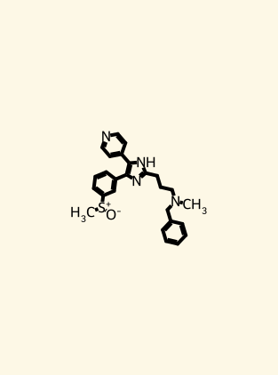 CN(CCCc1nc(-c2cccc([S+](C)[O-])c2)c(-c2ccncc2)[nH]1)Cc1ccccc1